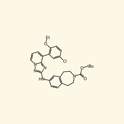 CCOc1ccc(Cl)cc1-c1cccn2nc(Nc3ccc4c(c3)CCN(C(=O)OC(C)(C)C)CC4)nc12